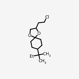 CCC(C)(C)C1CCC2(CC1)OCC(CCCl)O2